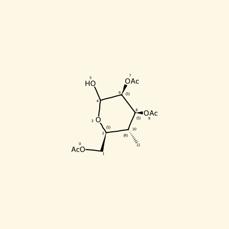 CC(=O)OC[C@H]1OC(O)[C@@H](OC(C)=O)[C@@H](OC(C)=O)[C@@H]1C